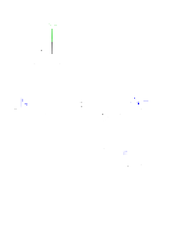 CC/C=C/C(=N)c1cncc(Cl)c1